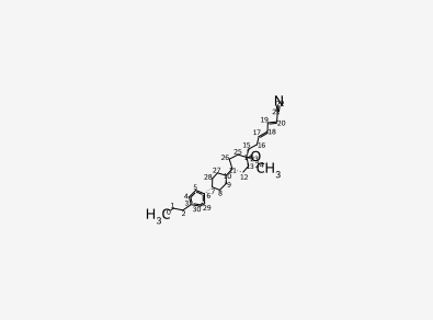 CCCc1ccc([C@H]2CC[C@H]([C@H]3CC[C@@](CCC=CC=CC#N)(OC)CC3)CC2)cc1